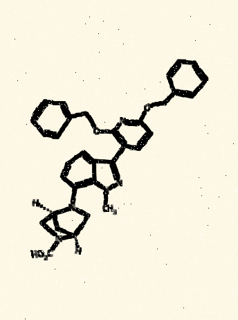 Cn1nc(-c2ccc(OCc3ccccc3)nc2OCc2ccccc2)c2cccc(N3C[C@@H]4C[C@H]3CN4C(=O)O)c21